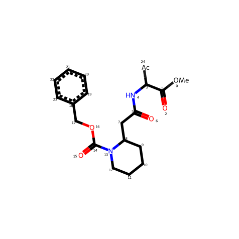 COC(=O)C(NC(=O)CC1CCCCN1C(=O)OCc1ccccc1)C(C)=O